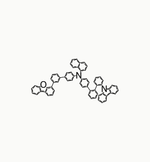 c1cc(-c2ccc(N(c3ccc(-c4ccccc4-c4ccccc4-n4c5ccccc5c5ccccc54)cc3)c3cccc4ccccc34)cc2)cc(-c2cccc3c2oc2ccccc23)c1